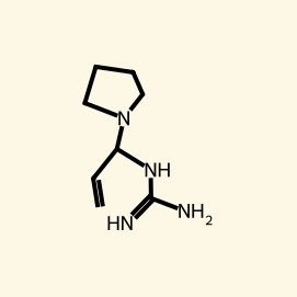 C=CC(NC(=N)N)N1CCCC1